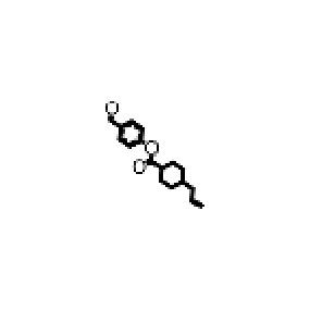 C=CCC1CCC(C(=O)Oc2ccc(C=O)cc2)CC1